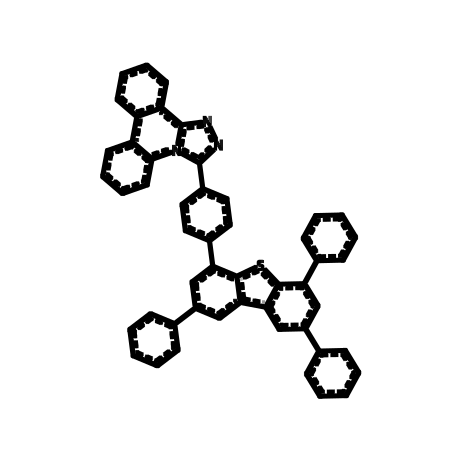 c1ccc(-c2cc(-c3ccccc3)c3sc4c(-c5ccc(-c6nnc7c8ccccc8c8ccccc8n67)cc5)cc(-c5ccccc5)cc4c3c2)cc1